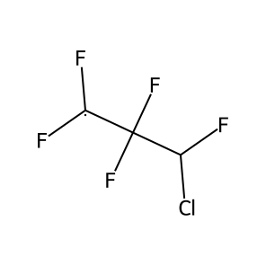 F[C](F)C(F)(F)C(F)Cl